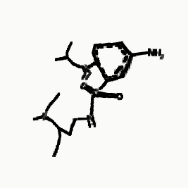 CC(C)Nc1ccc(N)cc1S(=O)(=O)NCCC(C)N(C)C